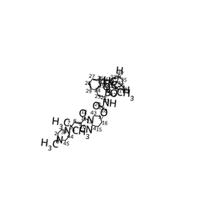 CN1CCN(C(C)(C)/C=C(\C#N)C(=O)N2CCC[C@H](OC(=O)N[C@@H](Cc3ccccc3)B3O[C@@H]4C[C@@H]5C[C@@H](C5(C)C)[C@]4(C)O3)C2)CC1